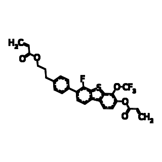 C=CC(=O)OCCCc1ccc(-c2ccc3c(sc4c(OC(F)(F)F)c(OC(=O)C=C)ccc43)c2F)cc1